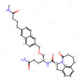 CNC(=O)CCCc1ccc2cc(COC[C@H](CCC(N)=O)NC(=O)[C@@H]3Cc4cccc5c4N3C(=O)CCC5)ccc2c1